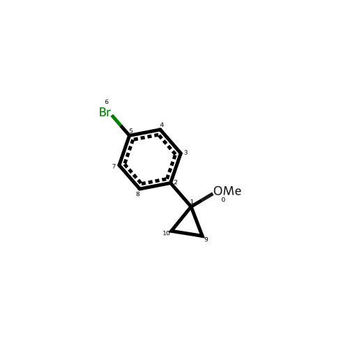 COC1(c2ccc(Br)cc2)CC1